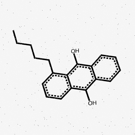 CCCCCc1cccc2c(O)c3ccccc3c(O)c12